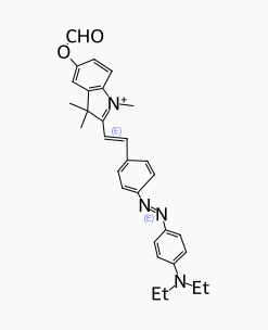 CCN(CC)c1ccc(/N=N/c2ccc(/C=C/C3=[N+](C)c4ccc(OC=O)cc4C3(C)C)cc2)cc1